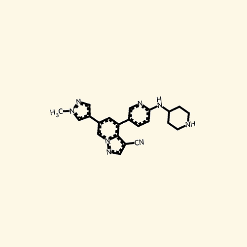 Cn1cc(-c2cc(-c3ccc(NC4CCNCC4)nc3)c3c(C#N)cnn3c2)cn1